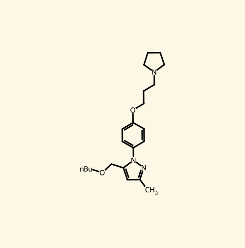 CCCCOCc1cc(C)nn1-c1ccc(OCCCN2CCCC2)cc1